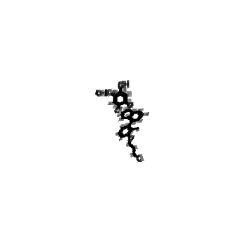 Cc1c(OCCCCl)cccc1-c1cccc2c1CC[C@@H]2Oc1cc(O)c(C=O)cc1Cl